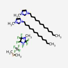 CCCCCCCCCCCCCN1C=CN(C)C1.CCCCCCCCCCCCCN1C=CN(C)C1.CN1C(F)(F)C(F)N(F)C1(F)F.CSC.F[B-](F)(F)F